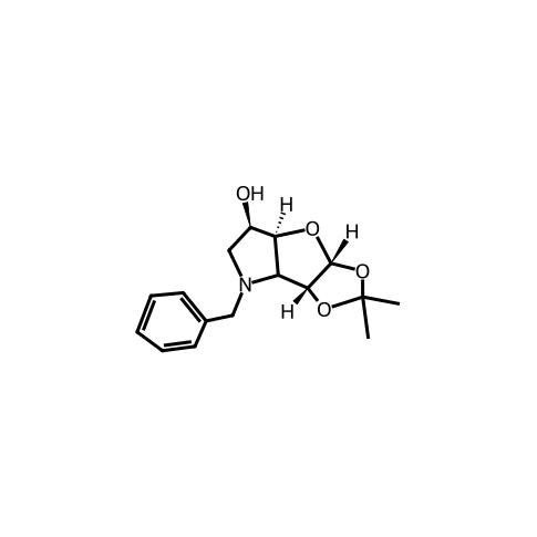 CC1(C)O[C@H]2O[C@H]3C([C@H]2O1)N(Cc1ccccc1)C[C@H]3O